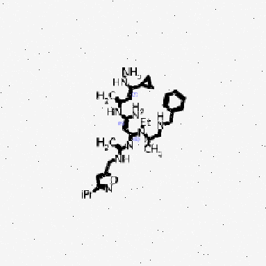 C=C(/C=C(\NN)C1CC1)N/C(N)=C/C(=N\C(=C)NCc1cc(C(C)C)no1)N(CC)[C@H](C)CNCc1ccccc1